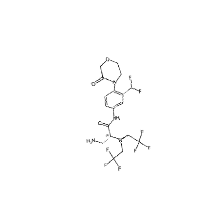 NC[C@H](C(=O)Nc1ccc(N2CCOCC2=O)c(C(F)F)c1)N(CC(F)(F)F)CC(F)(F)F